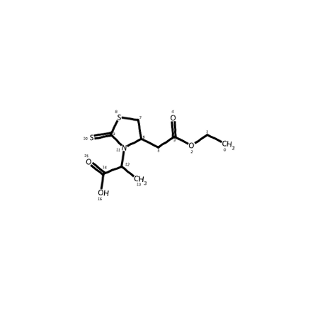 CCOC(=O)CC1CSC(=S)N1C(C)C(=O)O